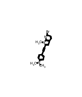 CN(C)c1ccc(C#Cc2cc3ccc(Br)nc3n2C)cc1